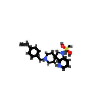 COc1ccc(CN2CCC3(CC2)CN(S(C)(=O)=O)c2cccnc23)cc1